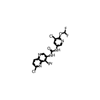 CC(C)c1c(NC(=O)Nc2cnc(OC(F)F)c(Cl)c2)cnc2ccc(Cl)nc12